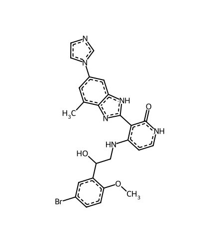 COc1ccc(Br)cc1C(O)CNc1cc[nH]c(=O)c1-c1nc2c(C)cc(-n3ccnc3)cc2[nH]1